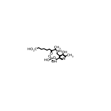 Cc1ncc(COP(=O)(O)O)c(CNC(C)C(=O)CCCCCC(=O)O)c1O